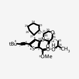 COC(=O)c1sc(C#CC(C)(C)C)cc1N1C(=O)[C@@H](CC(C)O)OC[C@H]1C1CCCCC1